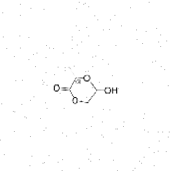 C[C@@H]1OC(O)COC1=O